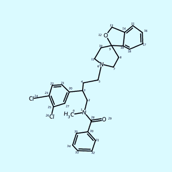 CN(CC(CCN1CCC2(CC1)OCc1ccccc12)c1ccc(Cl)c(Cl)c1)C(=O)c1ccccc1